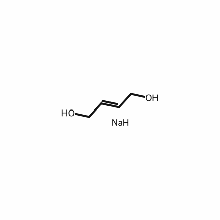 OC/C=C/CO.[NaH]